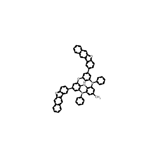 Cc1cc2c3c(c1)N(c1ccccc1)c1cc(-c4ccc5oc6cc7ccccc7cc6c5c4)cc4c1[SiH]3c1c(cc(-c3ccc5oc6cc7ccccc7cc6c5c3)cc1N2c1ccccc1)O4